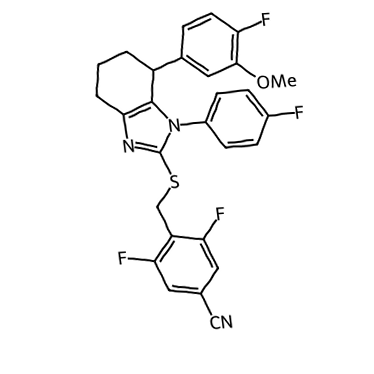 COc1cc(C2CCCc3nc(SCc4c(F)cc(C#N)cc4F)n(-c4ccc(F)cc4)c32)ccc1F